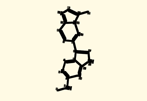 CNc1ncc2c(-c3ccc4ncc(C)n4n3)c[nH]c2n1